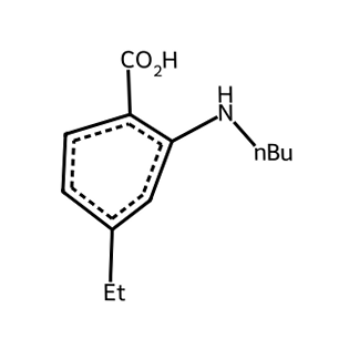 CCCCNc1cc(CC)ccc1C(=O)O